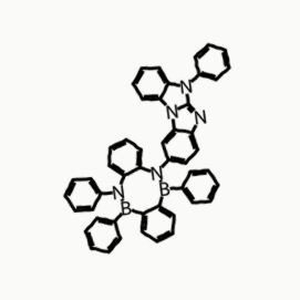 c1ccc(B2c3ccccc3B(c3ccccc3)N(c3ccc4nc5n(-c6ccccc6)c6ccccc6n5c4c3)c3ccccc3N2c2ccccc2)cc1